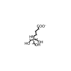 O=C([O-])CCCN[P+](CO)(CO)CO